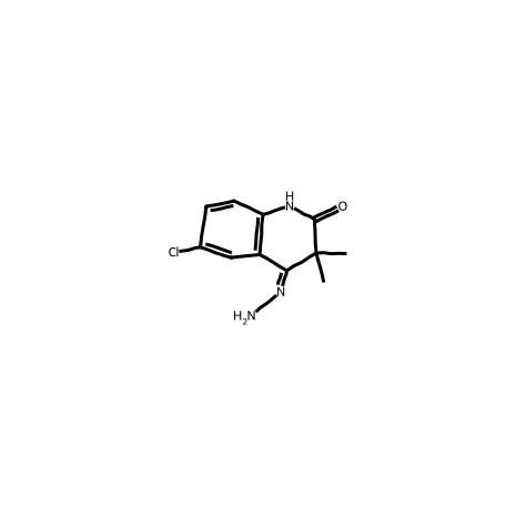 CC1(C)C(=O)Nc2ccc(Cl)cc2C1=NN